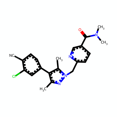 Cc1nn(Cc2ccc(C(=O)N(C)C)cn2)c(C)c1-c1ccc(C#N)c(Cl)c1